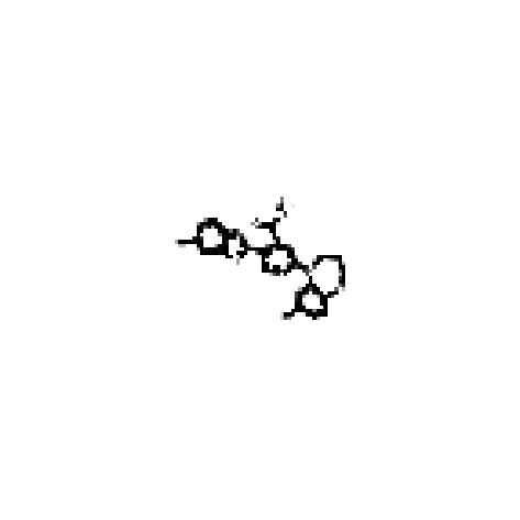 COC(=O)c1cc(N2CCCOc3ccc(F)cc32)ncc1-c1nc2ccc(F)cc2o1